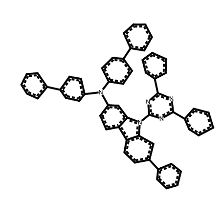 c1ccc(-c2ccc(N(c3ccc(-c4ccccc4)cc3)c3ccc4c5ccc(-c6ccccc6)cc5n(-c5nc(-c6ccccc6)nc(-c6ccccc6)n5)c4c3)cc2)cc1